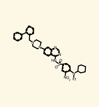 CCN(c1ccc(S(=O)(=O)Nc2ncnc3cc(N4CCN(Cc5ccccc5-c5ccccc5)CC4)ccc23)cc1[N+](=O)[O-])C1CCCCC1